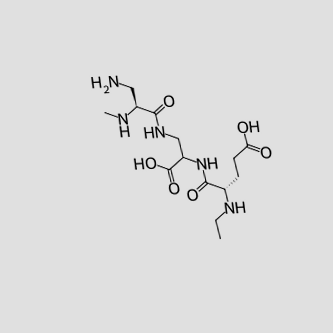 CCN[C@@H](CCC(=O)O)C(=O)NC(CNC(=O)[C@H](CN)NC)C(=O)O